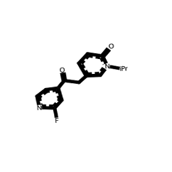 CC(C)n1cc(CC(=O)c2ccnc(F)c2)ccc1=O